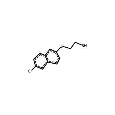 SCCSc1ccc2cc(Cl)ccc2c1